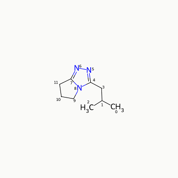 CC(C)Cc1nnc2n1CCC2